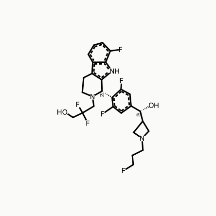 OCC(F)(F)CN1CCc2c([nH]c3c(F)cccc23)[C@@H]1c1c(F)cc([C@H](O)C2CN(CCCF)C2)cc1F